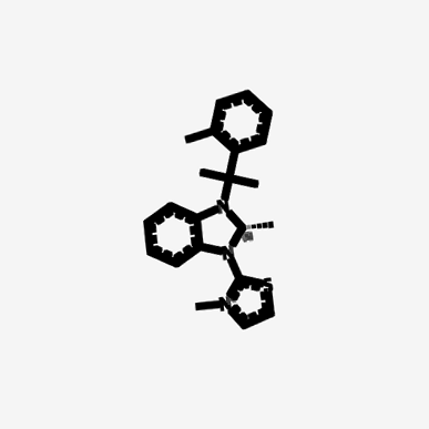 Cc1ccccc1C(C)(C)N1c2ccccc2N(c2scc[n+]2C)[C@H]1C